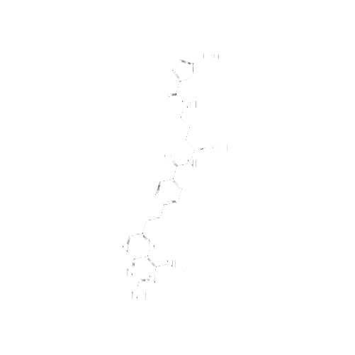 CC(C)(C)c1ccc(C(=O)NCCC[C@H](NC(=O)c2ccc(CCc3cnc4nc(N)nc(N)c4n3)cc2)C(=O)O)s1